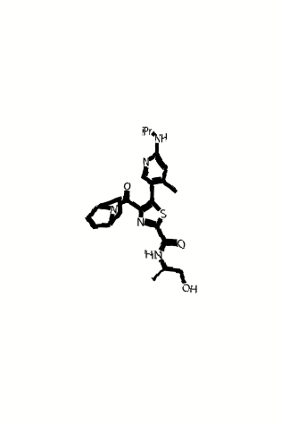 Cc1cc(NC(C)C)ncc1-c1sc(C(=O)N[C@H](C)CO)nc1C(=O)N1C2CCC1CC2